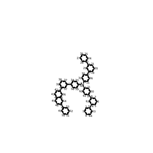 c1ccc(-c2cccc(-c3ccc(N(c4ccc(-c5cccc(-c6ccccc6)c5)cc4)c4ccc(-c5cccc(-c6ccc7ccc(-c8ccccc8)cc7c6)c5)cc4)cc3)c2)cc1